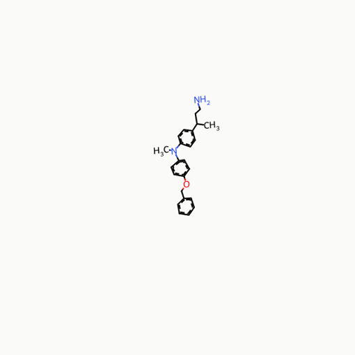 CC(CCN)c1ccc(N(C)c2ccc(OCc3ccccc3)cc2)cc1